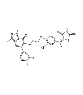 C/C(=C1\SC(=O)NC1=O)c1ccc(OCCCn2c(-c3ccc(F)c(F)c3)nc3c(C)nn(C)c3c2=O)c(Cl)c1